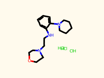 Cl.Cl.Cl.c1ccc(N2CCCCC2)c(NCCN2CCOCC2)c1